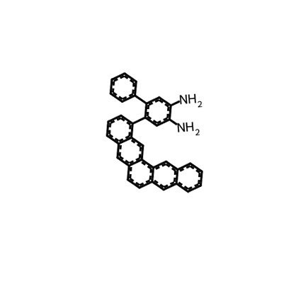 Nc1cc(-c2ccccc2)c(-c2cccc3cc4ccc5cc6ccccc6cc5c4cc23)cc1N